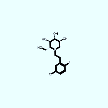 OC[C@@H]1[C@@H](O)[C@H](O)[C@@H](O)CN1CCc1cc(Cl)ccc1F